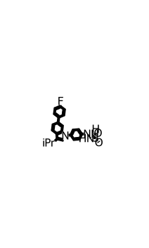 CC(C)c1cn(-c2ccc(NN[SH](=O)=O)cc2)c2cc(-c3ccc(F)cc3)ccc12